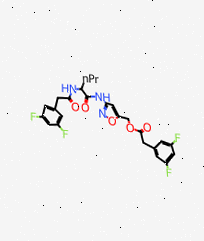 CCCC(NC(=O)Cc1cc(F)cc(F)c1)C(=O)Nc1cc(COC(=O)Cc2cc(F)cc(F)c2)on1